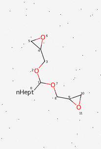 CCCCCCCC(OCC1CO1)OCC1CO1